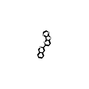 c1ccc2cc(-c3ccc4sc5nccnc5c4n3)ncc2c1